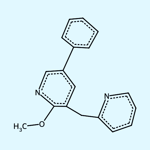 COc1ncc(-c2ccccc2)cc1Cc1ccccn1